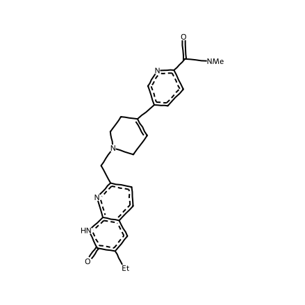 CCc1cc2ccc(CN3CC=C(c4ccc(C(=O)NC)nc4)CC3)nc2[nH]c1=O